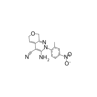 Cc1cc([N+](=O)[O-])ccc1N1N=C2COCC=C2C(C#N)=C1N